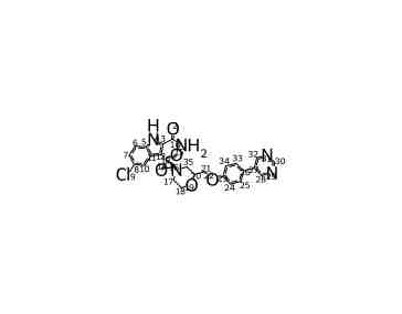 NC(=O)c1[nH]c2ccc(Cl)cc2c1S(=O)(=O)N1CCOC(COc2ccc(-c3cncnc3)cc2)C1